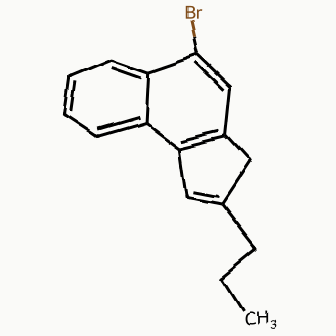 CCCC1=Cc2c(cc(Br)c3ccccc23)C1